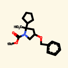 CC(C)(C)OC(=O)N1CC(OCc2ccccc2)CC1(C(=O)O)C1CCCC1